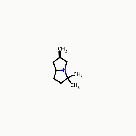 C=C1CC2CCC(C)(C)N2C1